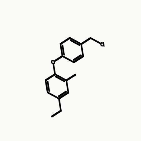 CCc1ccc(Oc2ccc(CCl)cc2)c(C)c1